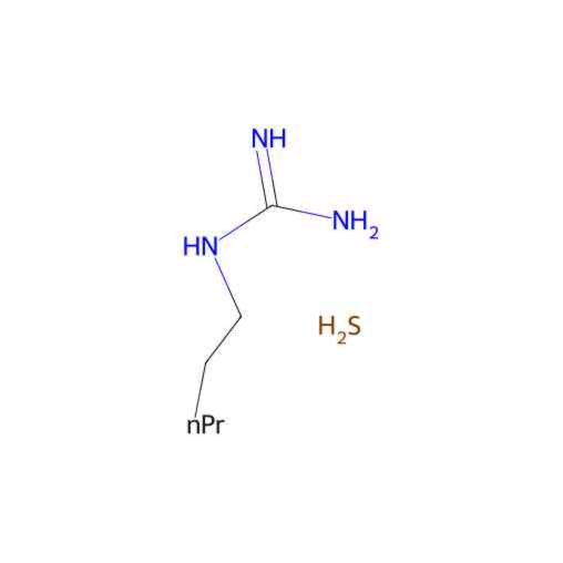 CCCCCNC(=N)N.S